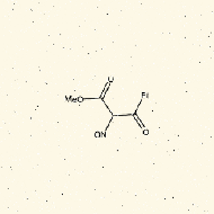 CCC(=O)C(N=O)C(=O)OC